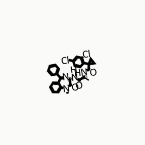 C[C@H](NC(=O)C1(c2ccc(Cl)cc2Cl)CC1)C(=O)N[C@H]1N=C(c2ccccc2)c2ccccc2N(C)C1=O